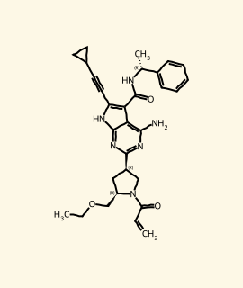 C=CC(=O)N1C[C@H](c2nc(N)c3c(C(=O)N[C@H](C)c4ccccc4)c(C#CC4CC4)[nH]c3n2)C[C@@H]1COCC